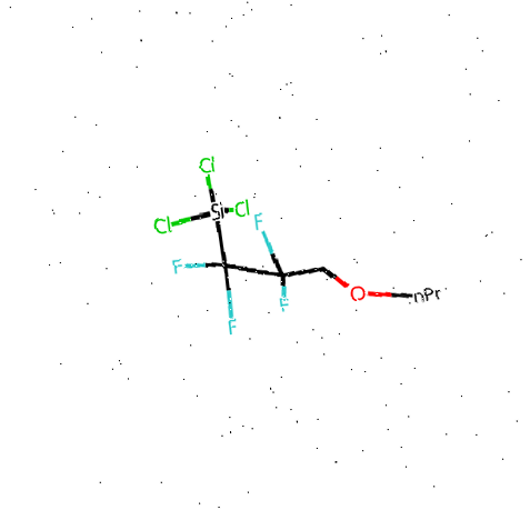 CCCOCC(F)(F)C(F)(F)[Si](Cl)(Cl)Cl